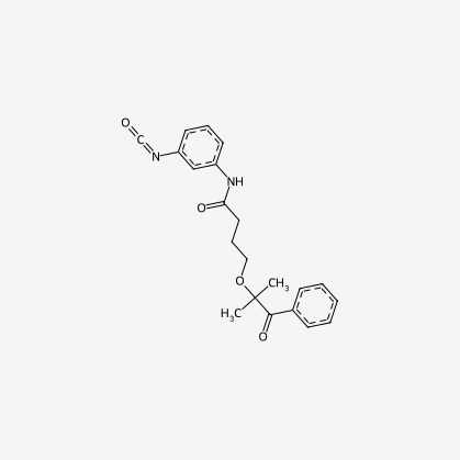 CC(C)(OCCCC(=O)Nc1cccc(N=C=O)c1)C(=O)c1ccccc1